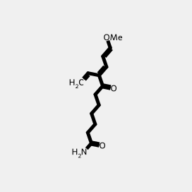 C=C/C(=C\C=C\OC)C(=O)CCCCCC(N)=O